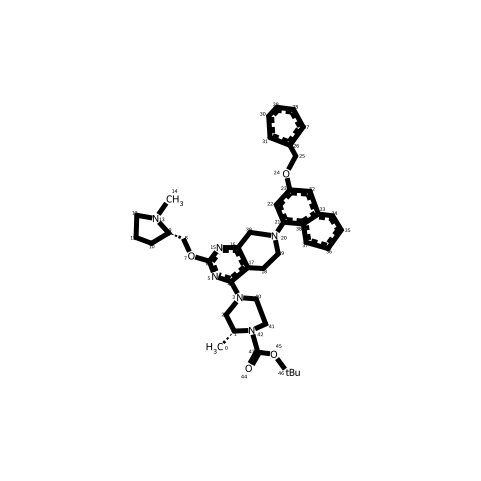 C[C@@H]1CN(c2nc(OC[C@@H]3CCCN3C)nc3c2CCN(c2cc(OCc4ccccc4)cc4ccccc24)C3)CCN1C(=O)OC(C)(C)C